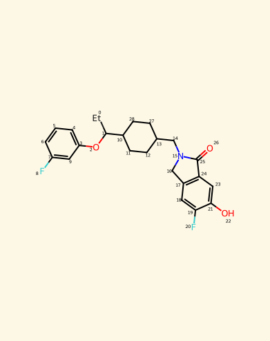 CCC(Oc1cccc(F)c1)C1CCC(CN2Cc3cc(F)c(O)cc3C2=O)CC1